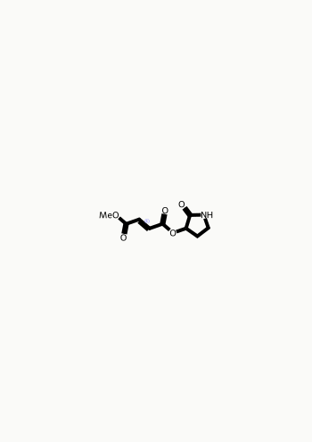 COC(=O)/C=C/C(=O)OC1CCNC1=O